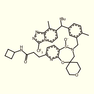 Cc1ccc(C(c2ccn3c(C(F)(F)F)nnc3c2C)C(C)(C)C)cc1CN1CC2(CCOCC2)Oc2nc(CCC(=O)NC3CCC3)ccc2[S+]1[O-]